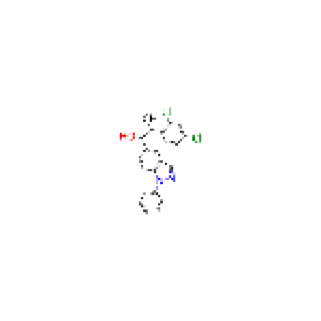 CC(c1ccc(Cl)cc1Cl)C(O)c1ccc2c(cnn2-c2ccccc2)c1